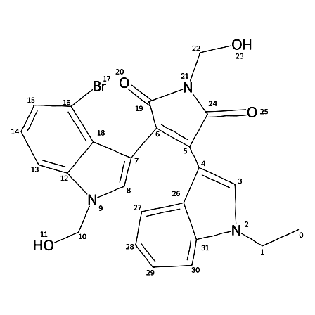 CCn1cc(C2=C(c3cn(CO)c4cccc(Br)c34)C(=O)N(CO)C2=O)c2ccccc21